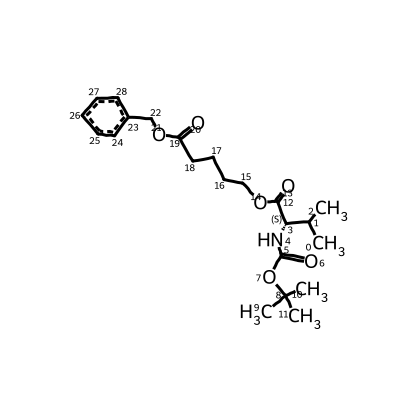 CC(C)[C@H](NC(=O)OC(C)(C)C)C(=O)OCCCCC(=O)OCc1ccccc1